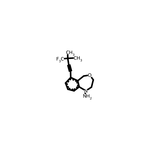 CC(C)(C#Cc1cccc2c1COCCN2N)C(F)(F)F